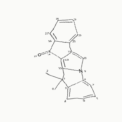 CC1(C)c2ccccc2-n2cc3c(c21)C(=O)c1ccccc1-3